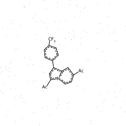 CC(=O)c1ccn2c(C(C)=O)cc(-c3ccc(C(F)(F)F)cc3)c2c1